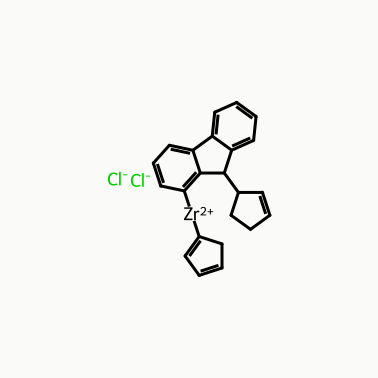 C1=CC[C]([Zr+2][c]2cccc3c2C(C2C=CCC2)c2ccccc2-3)=C1.[Cl-].[Cl-]